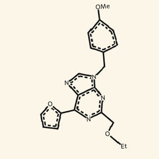 CCOCc1nc(-c2ccco2)c2ncn(Cc3ccc(OC)cc3)c2n1